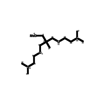 COCC(C)(COCCN(C)C)COCCN(C)C